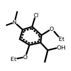 CCOc1cc(N(C)C)c(Cl)c(OCC)c1C(C)O